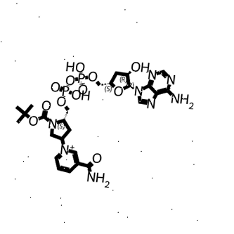 CC(C)(C)OC(=O)N1CC([n+]2cccc(C(N)=O)c2)C[C@H]1COP(=O)(O)OP(=O)(O)OC[C@@H]1C[C@@H](O)[C@H](n2cnc3c(N)ncnc32)O1